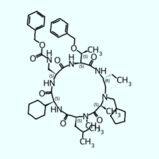 CC[C@@H]1CN(CC2CCCC2)[C@@H](C)C(=O)N(C)[C@@H](CC(C)C)C(=O)N[C@@H](C2CCCCC2)C(=O)N[C@@H](CNC(=O)OCc2ccccc2)C(=O)N[C@@H]([C@H](C)OCc2ccccc2)C(=O)N1